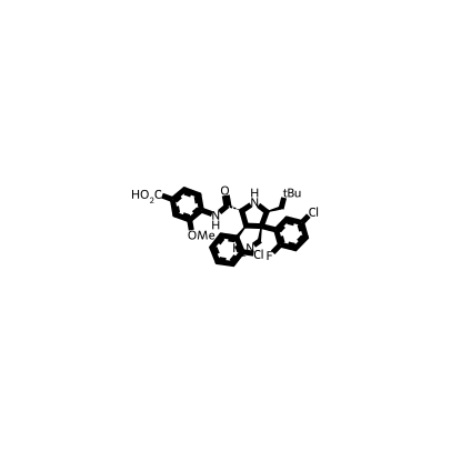 COc1cc(C(=O)O)ccc1NC(=O)[C@@H]1N[C@@H](CC(C)(C)C)[C@](CN)(c2cc(Cl)ccc2F)[C@H]1c1ccccc1Cl